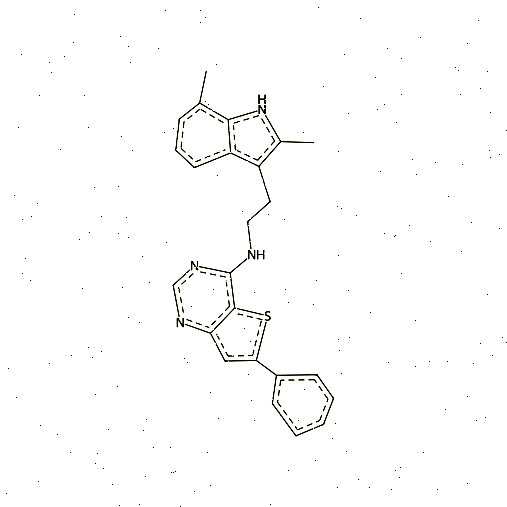 Cc1[nH]c2c(C)cccc2c1CCNc1ncnc2cc(-c3ccccc3)sc12